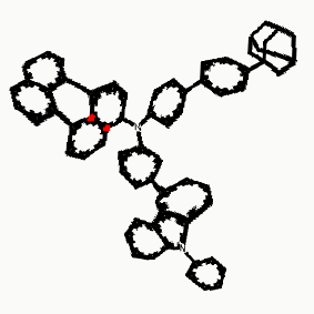 c1ccc(-c2cccc3cccc(-c4ccc(N(c5ccc(-c6ccc(C78CC9CC(CC(C9)C7)C8)cc6)cc5)c5cccc(-c6cccc7c6c6ccccc6n7-c6ccccc6)c5)cc4)c23)cc1